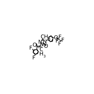 Cc1nn([C@H](C)[C@@]2(c3ccc(F)cc3F)CO2)c(=O)n1-c1ccc(OC(F)(F)C(F)F)cc1